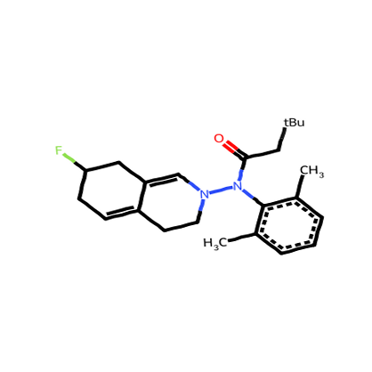 Cc1cccc(C)c1N(C(=O)CC(C)(C)C)N1C=C2CC(F)CC=C2CC1